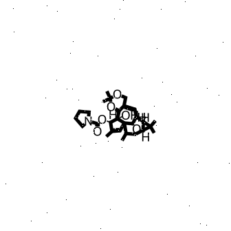 CC1=CC23C(=O)[C@@H](C=C4COC(C)(C)O[C@H]4[C@]2(O)[C@H]1OC(=O)N1CCCC1)[C@@H]1[C@@H](CC3C)C1(C)C